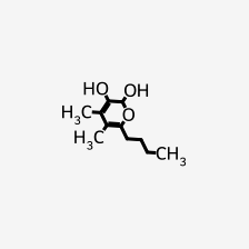 CCCCC1=C(C)C(C)=C(O)C(O)O1